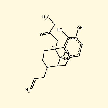 C=CCN1CC[C@@]2(CC(=O)CC)c3c(ccc(O)c3O)CC1C2(C)O